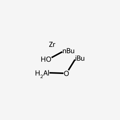 CCC(C)[O][AlH2].CCCCO.[Zr]